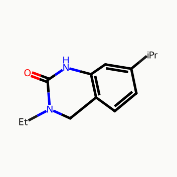 CCN1Cc2ccc(C(C)C)cc2NC1=O